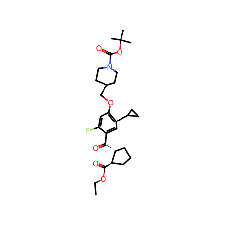 CCOC(=O)[C@@H]1CCC[C@H]1C(=O)c1cc(C2CC2)c(OCC2CCN(C(=O)OC(C)(C)C)CC2)cc1F